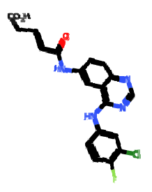 O=C(O)CC=CC(=O)Nc1ccc2ncnc(Nc3ccc(F)c(Cl)c3)c2c1